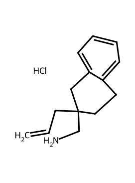 C=CCC1(CN)CCc2ccccc2C1.Cl